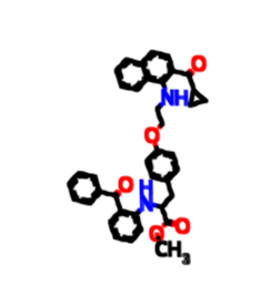 COC(=O)C(Cc1ccc(OCCNc2c(C(=O)C3CC3)ccc3ccccc23)cc1)Nc1ccccc1C(=O)c1ccccc1